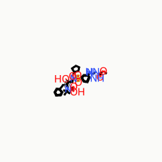 COC(=O)Nc1nc2cc(S(=O)(=O)N(C[C@H](O)[C@H](Cc3ccccc3)N(C(=O)O)C(C)(C)C)OC3CCCC3)ccc2[nH]1